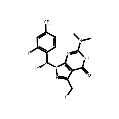 CC(C)[C@@H](c1ccc(C(F)(F)F)cc1F)n1nc(CF)c2c(=O)[nH]c(N(C)C)nc21